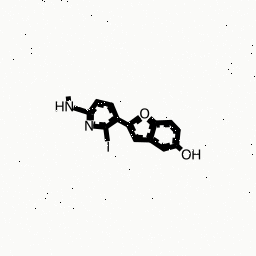 CNc1ccc(-c2cc3cc(O)ccc3o2)c(I)n1